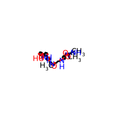 CNCCCN(OC)C(=O)c1ccc(NCCCCCC(=O)N(C)CCN2CCC(c3cccc(-c4ccccc4)c3NC(=O)O)CC2)cc1